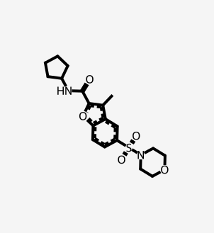 Cc1c(C(=O)NC2CCCC2)oc2ccc(S(=O)(=O)N3CCOCC3)cc12